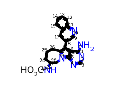 Nc1ncnc2c1c(-c1cnc3ccccc3c1)c1n2CC(NC(=O)O)CCC1